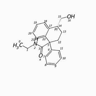 CCNC(=O)C1(c2ccccc2)CC[C@@H](CO)c2ccccc21